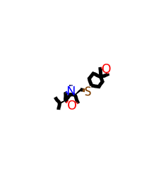 CC(C)[C@]12CN(C)[C@](CSC3CCC4(CC3)COC4)(CO1)C2